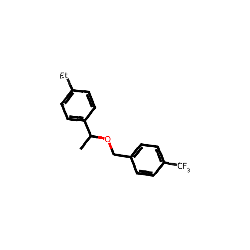 CCc1ccc(C(C)OCc2ccc(C(F)(F)F)cc2)cc1